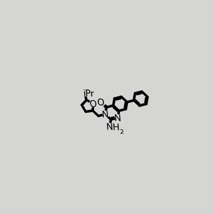 CC(C)C1CCC(Cn2c(N)nc3cc(-c4ccccc4)ccc3c2=O)O1